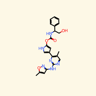 Cc1cc(Nc2ncc(C)c(-c3c[nH]c(OC(=O)NC(CO)c4ccccc4)c3)n2)no1